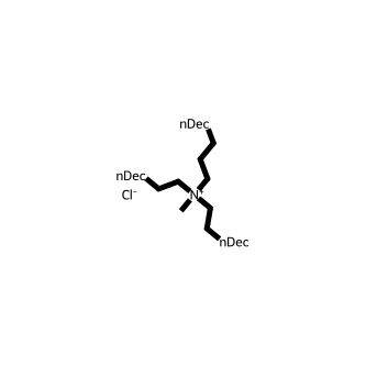 CCCCCCCCCCCCC[N+](C)(CCCCCCCCCCCC)CCCCCCCCCCCC.[Cl-]